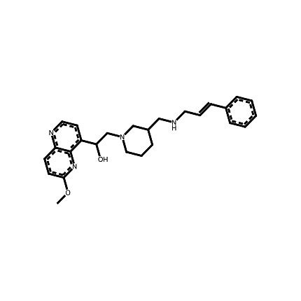 COc1ccc2nccc(C(O)CN3CCCC(CNCC=Cc4ccccc4)C3)c2n1